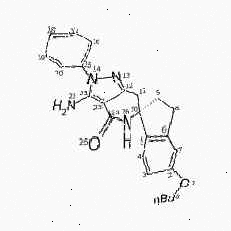 CCCCOc1ccc2c(c1)CC[C@]21Cc2nn(-c3ccccc3)c(N)c2C(=O)N1